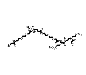 CNCCN(CCNC(=O)[C@H](CCC(=O)O)NC(=O)COCCOCCNC(=O)CC[C@@H](NC(=O)COCCOCCNC(=O)CBr)C(=O)O)C(=O)CCl